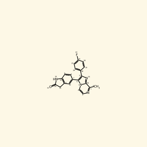 Cc1nccn2c(-c3ccc4c(c3)CC(=O)N4)c(-c3ccc(F)cc3)nc12